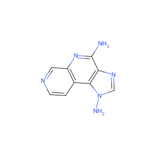 Nc1nc2cnccc2c2c1ncn2N